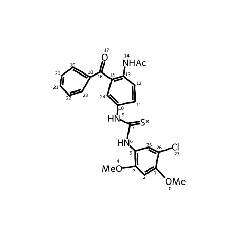 COc1cc(OC)c(NC(=S)Nc2ccc(NC(C)=O)c(C(=O)c3ccccc3)c2)cc1Cl